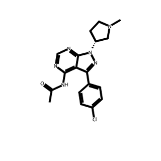 CC(=O)Nc1ncnc2c1c(-c1ccc(Cl)cc1)nn2[C@@H]1CCN(C)C1